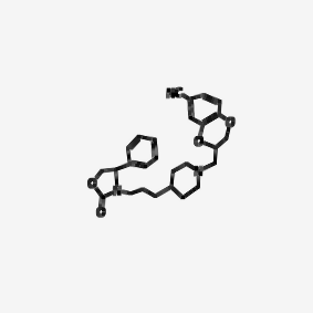 N#Cc1ccc2c(c1)OC(CN1CCC(CCCN3C(=O)OCC3c3ccccc3)CC1)CO2